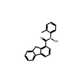 Cc1ccccc1N(O)C(=O)c1cccc2c1Cc1ccccc1-2